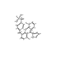 Cc1cnc(Nc2ccc(NS(C)(=O)=O)nc2)nc1N(C1=CC=CC(C)C1=O)c1cnco1